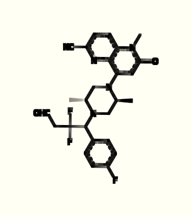 C[C@@H]1CN(c2cc(=O)n(C)c3ccc(C#N)nc23)[C@@H](C)CN1C(c1ccc(F)cc1)C(F)(F)CC=O